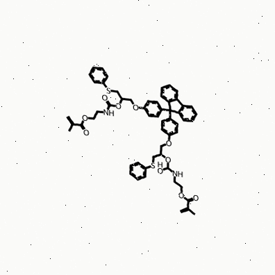 C=C(C)C(=O)OCCNC(=O)OC(COc1ccc(C2(c3ccc(OCC(CSc4ccccc4)OC(O)NCCOC(=O)C(=C)C)cc3)c3ccccc3-c3ccccc32)cc1)CSc1ccccc1